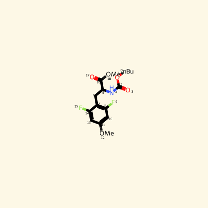 CCCCOC(=O)NC(Cc1c(F)cc(OC)cc1F)C(=O)OC